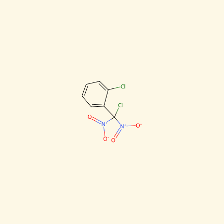 O=[N+]([O-])C(Cl)(c1ccccc1Cl)[N+](=O)[O-]